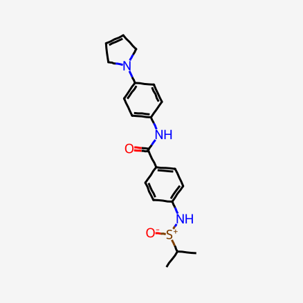 CC(C)[S+]([O-])Nc1ccc(C(=O)Nc2ccc(N3CC=CC3)cc2)cc1